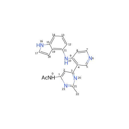 CC(=O)Nc1cc(-c2cnccc2Nc2cccc3[nH]ccc23)nc(C)n1